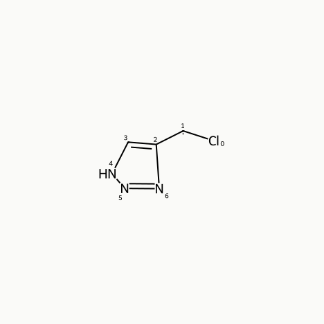 Cl[CH]c1c[nH]nn1